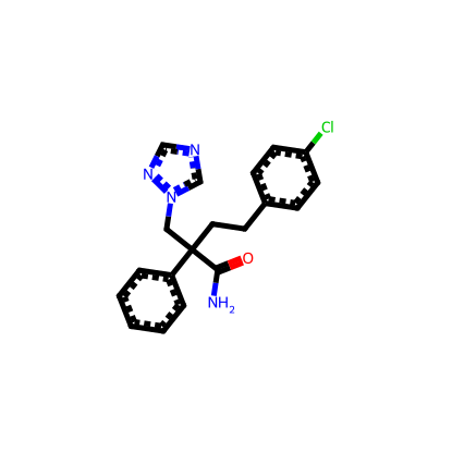 NC(=O)C(CCc1ccc(Cl)cc1)(Cn1cncn1)c1ccccc1